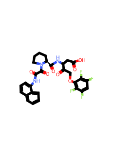 O=C(O)CC(NC(=O)[C@@H]1CCCCN1C(=O)C(=O)Nc1cccc2ccccc12)C(=O)COc1c(F)c(F)cc(F)c1F